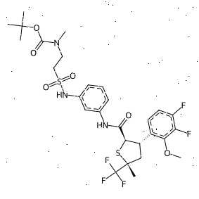 COc1c([C@@H]2C[C@](C)(C(F)(F)F)S[C@H]2C(=O)Nc2cccc(NS(=O)(=O)CCN(C)C(=O)OC(C)(C)C)c2)ccc(F)c1F